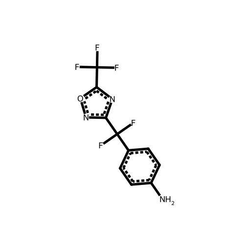 Nc1ccc(C(F)(F)c2noc(C(F)(F)F)n2)cc1